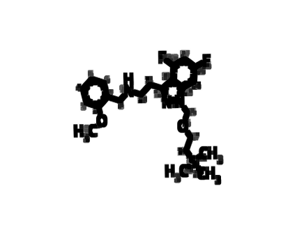 COc1ccccc1CNCCc1nn(COCC[Si](C)(C)C)c2cc(F)cc(F)c12